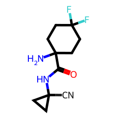 N#CC1(NC(=O)C2(N)CCC(F)(F)CC2)CC1